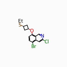 CCS[C@H]1C[C@@H](Oc2ccc(Br)c3cc(Cl)ncc23)C1